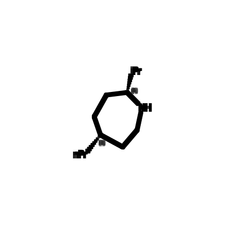 CCC[C@H]1CCN[C@@H](C(C)C)CC1